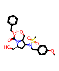 COc1ccc(CN(C2C[C@@H](CO)N(C(=O)OCc3ccccc3)C2CO)S(C)(=O)=O)cc1